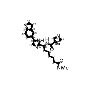 CNC(=O)CCCCCC(NC(=O)c1cncs1)c1ncc(-c2ccc3sccc3c2)[nH]1